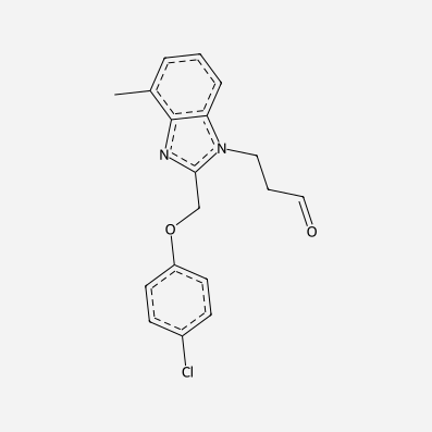 Cc1cccc2c1nc(COc1ccc(Cl)cc1)n2CCC=O